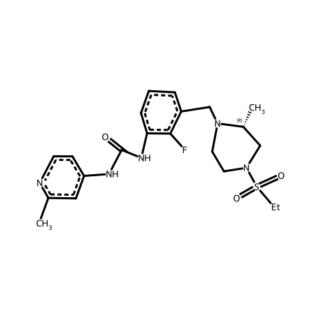 CCS(=O)(=O)N1CCN(Cc2cccc(NC(=O)Nc3ccnc(C)c3)c2F)[C@H](C)C1